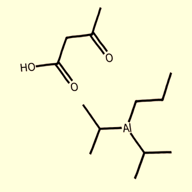 CC(=O)CC(=O)O.CC[CH2][Al]([CH](C)C)[CH](C)C